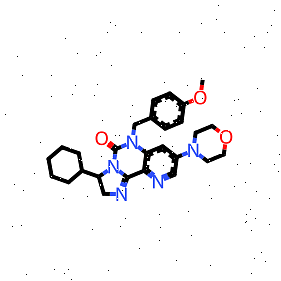 COc1ccc(CN2C(=O)N3C(=NCC3C3CCCCC3)c3ncc(N4CCOCC4)cc32)cc1